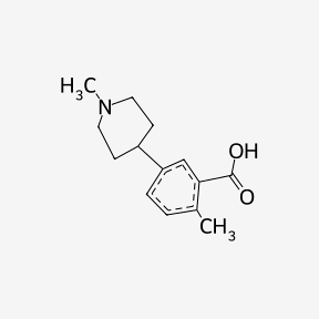 Cc1ccc(C2CCN(C)CC2)cc1C(=O)O